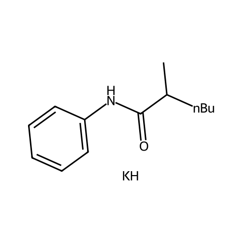 CCCCC(C)C(=O)Nc1ccccc1.[KH]